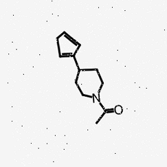 CC(=O)N1CCC(C2=CCC=C2)CC1